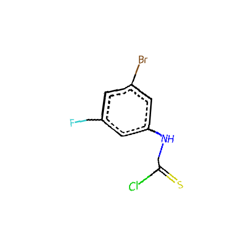 Fc1cc(Br)cc(NC(=S)Cl)c1